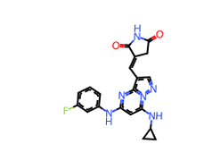 O=C1C/C(=C\c2cnn3c(NC4CC4)cc(Nc4cccc(F)c4)nc23)C(=O)N1